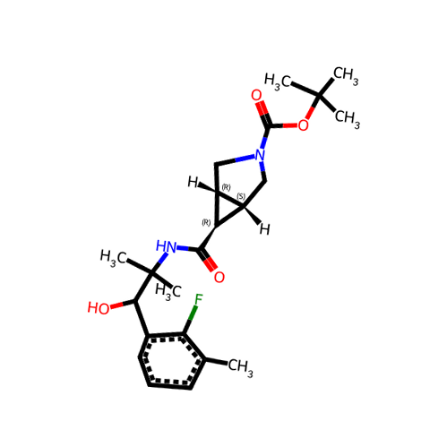 Cc1cccc(C(O)C(C)(C)NC(=O)[C@H]2[C@@H]3CN(C(=O)OC(C)(C)C)C[C@@H]32)c1F